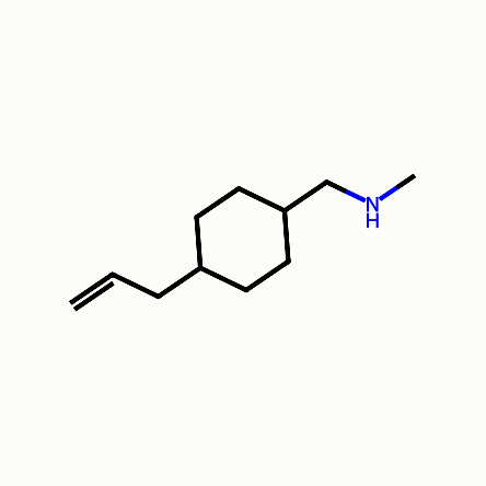 C=CCC1CCC(CNC)CC1